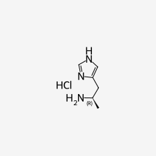 C[C@@H](N)Cc1c[nH]cn1.Cl